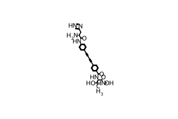 C[C@@H](O)[C@H](NC(=O)c1ccc(C#CC#Cc2ccc(NC(=O)[C@@H](N)Cc3c[nH]cn3)cc2)cc1)C(=O)NO